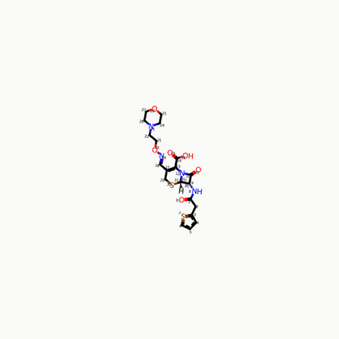 O=C(Cc1cccs1)N[C@@H]1C(=O)N2C(C(=O)O)=C(C=NOCCN3CCOCC3)CS[C@@H]12